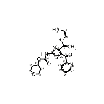 C=C(O/C=C\C)c1nc(NC(=O)OC2CCOCC2)sc1C(=O)c1ccccn1